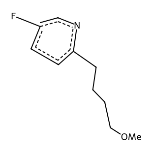 COCCCCc1ccc(F)cn1